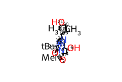 CNC(=O)[C@H]1CC(O)CN1C(=O)C(n1cc(CCC(C)(C)CO)nn1)C(C)(C)C